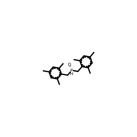 Cc1cc(C)c(C[PH](=O)Cc2c(C)cc(C)cc2C)c(C)c1